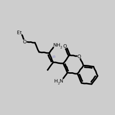 CCOCC/C(N)=C(\C)c1c(N)c2ccccc2oc1=O